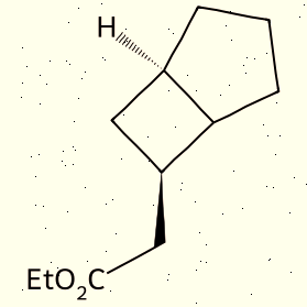 CCOC(=O)C[C@H]1C[C@H]2CCCC21